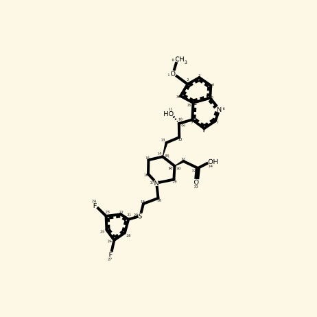 COc1ccc2nccc([C@@H](O)CC[C@@H]3CCN(CCSc4cc(F)cc(F)c4)C[C@@H]3CC(=O)O)c2c1